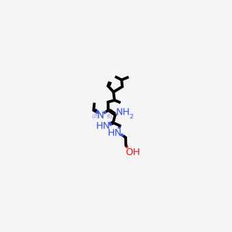 C=CC(CC(C)C)C(C)CC(/N=C\C)=C(\N)C(=N)CNCCO